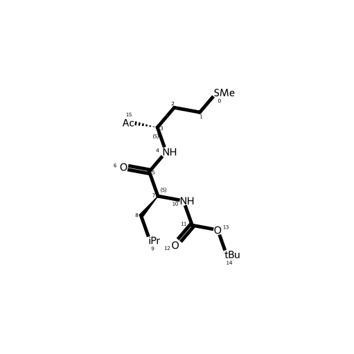 CSCC[C@H](NC(=O)[C@H](CC(C)C)NC(=O)OC(C)(C)C)C(C)=O